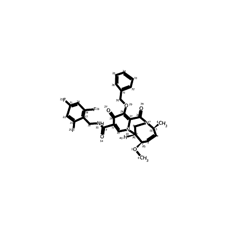 CO[C@@H]1C=C[C@H](C)N2C[C@H]1n1cc(C(=O)NCc3c(F)cc(F)cc3F)c(=O)c(OCc3ccccc3)c1C2=O